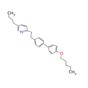 CCCCCOc1ccc(-c2ccc(CCc3ccc(CCCC)cn3)cc2)cc1